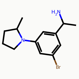 CC(N)c1cc(Br)cc(N2CCCC2C)c1